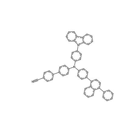 N#Cc1ccc(-c2ccc(N(c3ccc(-c4ccc(-c5ccccc5)c5ccccc45)cc3)c3ccc(-n4c5ccccc5c5ccccc54)cc3)cc2)cc1